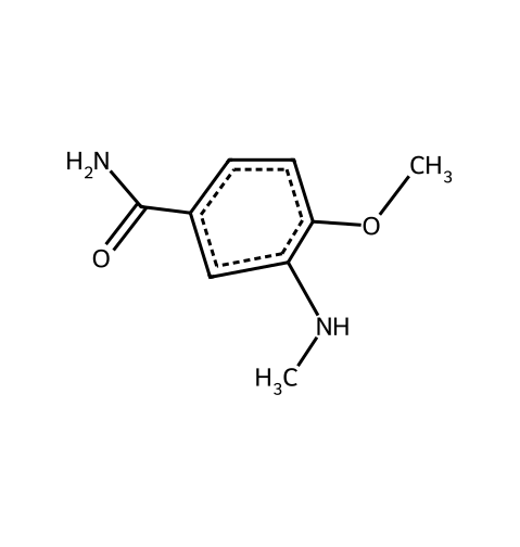 CNc1cc(C(N)=O)ccc1OC